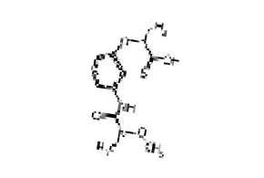 CON(C)C(=O)Nc1cccc(OC(C)C(O)=S)c1